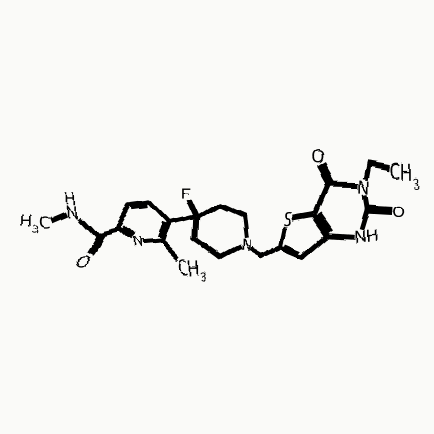 CCn1c(=O)[nH]c2cc(CN3CCC(F)(c4ccc(C(=O)NC)nc4C)CC3)sc2c1=O